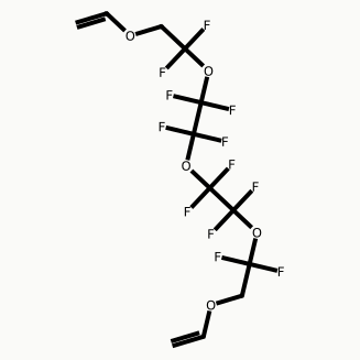 C=COCC(F)(F)OC(F)(F)C(F)(F)OC(F)(F)C(F)(F)OC(F)(F)COC=C